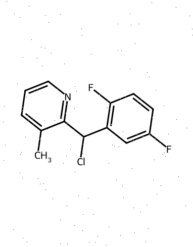 Cc1cccnc1C(Cl)c1cc(F)ccc1F